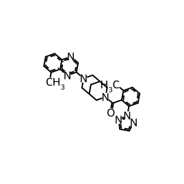 Cc1cccc(-n2nccn2)c1C(=O)N1CC2CC(C1)CN(c1cnc3cccc(C)c3n1)C2